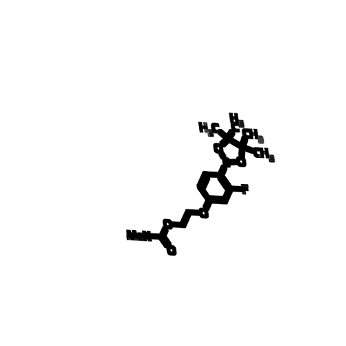 CNC(=O)OCCOc1ccc(B2OC(C)(C)C(C)(C)O2)c(F)c1